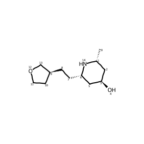 C[C@@H]1C[C@@H](O)C[C@H](CC[C@H]2CCOC2)N1